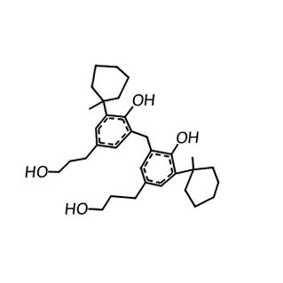 CC1(c2cc(CCCO)cc(Cc3cc(CCCO)cc(C4(C)CCCCC4)c3O)c2O)CCCCC1